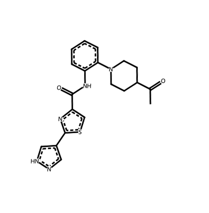 CC(=O)C1CCN(c2ccccc2NC(=O)c2csc(-c3cn[nH]c3)n2)CC1